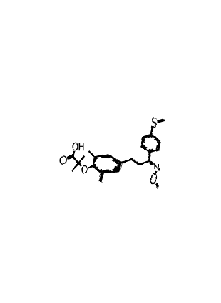 CO/N=C(\CCc1cc(C)c(OC(C)(C)C(=O)O)c(C)c1)c1ccc(SC)cc1